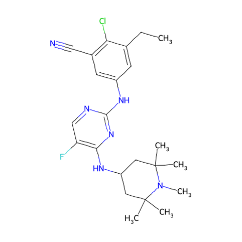 CCc1cc(Nc2ncc(F)c(NC3CC(C)(C)N(C)C(C)(C)C3)n2)cc(C#N)c1Cl